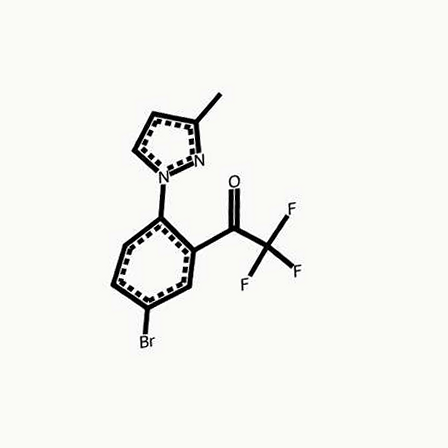 Cc1ccn(-c2ccc(Br)cc2C(=O)C(F)(F)F)n1